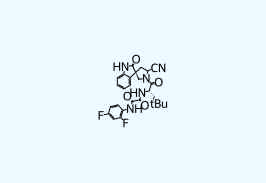 CC(C)(C)C[C@H](NC(=O)C(=O)Nc1ccc(F)cc1F)C(=O)N1C[C@]2(CC1C#N)C(=O)Nc1ccccc12